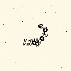 COc1cc2ncnc(Nc3cccc(NC(=O)c4ccnc(N5CCOCC5)c4)c3)c2cc1OC